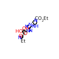 CCOC(=O)N1CCC(Nc2ncnc3c2ncn3[C@@H]2O[C@H](c3cc(CC)no3)[C@@H](O)[C@@H]2O)CC1